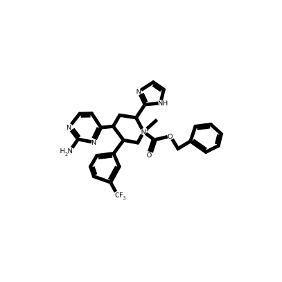 C[N+]1(C(=O)OCc2ccccc2)CC(c2cccc(C(F)(F)F)c2)C(c2ccnc(N)n2)CC1c1ncc[nH]1